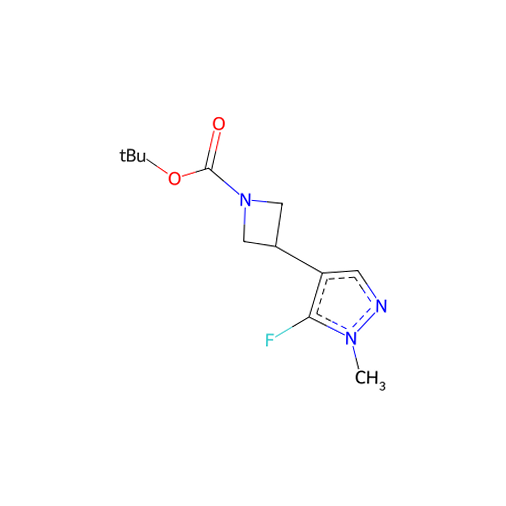 Cn1ncc(C2CN(C(=O)OC(C)(C)C)C2)c1F